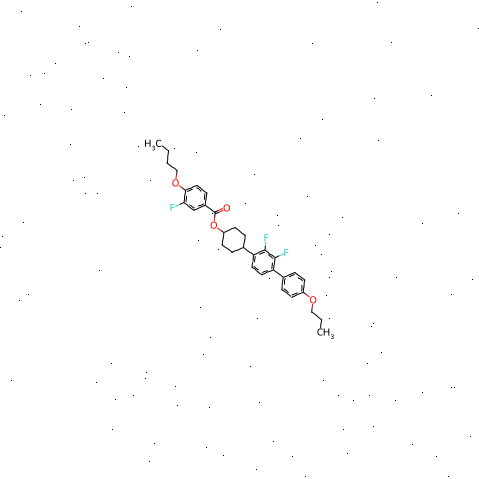 CCCCOc1ccc(C(=O)OC2CCC(c3ccc(-c4ccc(OCCC)cc4)c(F)c3F)CC2)cc1F